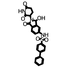 O=C1CCC(N2C(=O)c3ccc(NS(=O)(=O)c4ccc(-c5ccccc5)cc4)cc3C2O)C(=O)N1